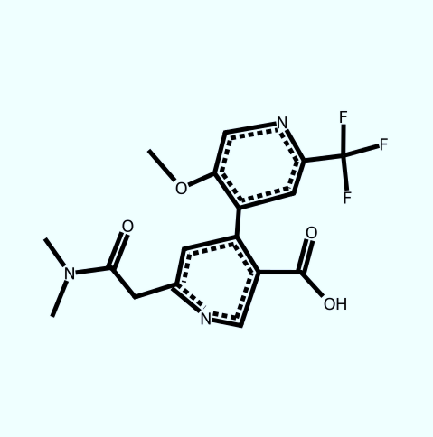 COc1cnc(C(F)(F)F)cc1-c1cc(CC(=O)N(C)C)ncc1C(=O)O